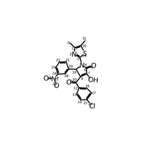 Cc1nc(N2C(=O)C(O)=C(C(=O)c3ccc(Cl)cc3)C2c2cccc([N+](=O)[O-])c2)sc1C